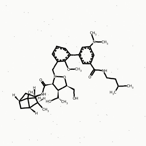 COc1c(CN2O[C@@H](CO)[C@@H]([C@H](C)O)[C@H]2C(=O)N[C@H]2C[C@H]3C[C@@H]([C@@H]2C)C3(C)C)cccc1-c1cc(C(=O)NCCC(C)C)cc(N(C)C)c1